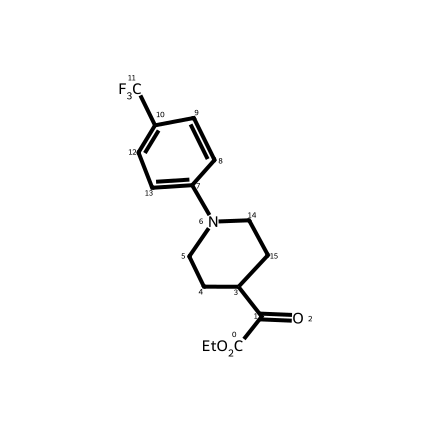 CCOC(=O)C(=O)C1CCN(c2ccc(C(F)(F)F)cc2)CC1